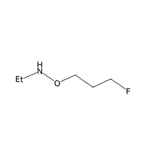 CCNOCCCF